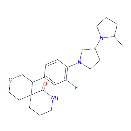 CC1CCCN1C1CCN(c2ccc(C3COCCC34CCCNC4=O)cc2F)C1